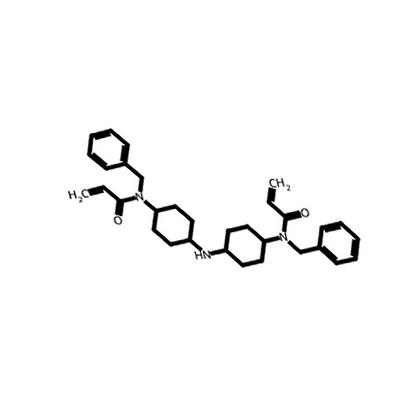 C=CC(=O)N(Cc1ccccc1)C1CCC(NC2CCC(N(Cc3ccccc3)C(=O)C=C)CC2)CC1